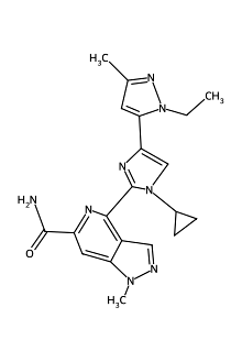 CCn1nc(C)cc1-c1cn(C2CC2)c(-c2nc(C(N)=O)cc3c2cnn3C)n1